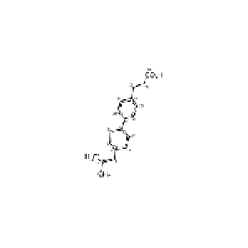 CC(C)=Cc1ccc(-c2ccc(CCC(=O)O)cc2)cc1